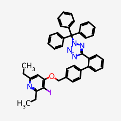 CCc1cc(OCc2ccc(-c3ccccc3-c3nnn(C(c4ccccc4)(c4ccccc4)c4ccccc4)n3)cc2)c(I)c(CC)n1